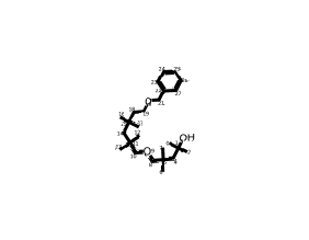 CC(C)(O)CC(C)(C)COCC(C)(C)CC(C)(C)CCOCc1ccccc1